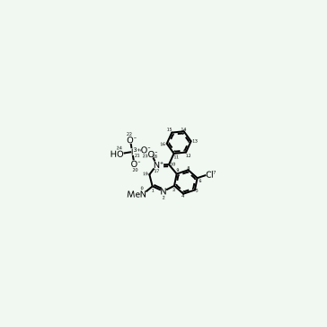 CNC1=Nc2ccc(Cl)cc2C(c2ccccc2)=[N+]([O-])C1.[O-][I+3]([O-])([O-])O